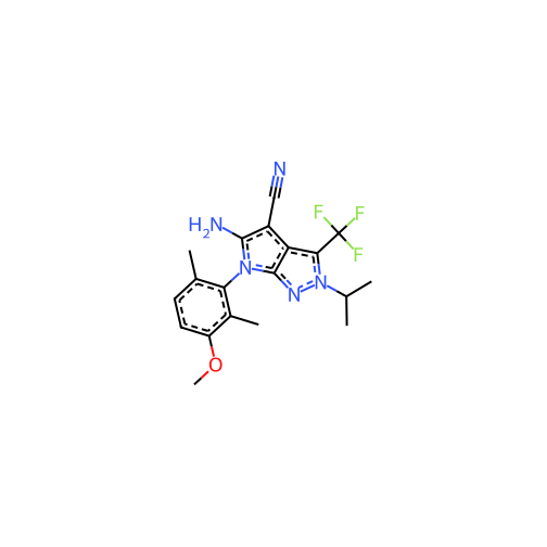 COc1ccc(C)c(-n2c(N)c(C#N)c3c(C(F)(F)F)n(C(C)C)nc32)c1C